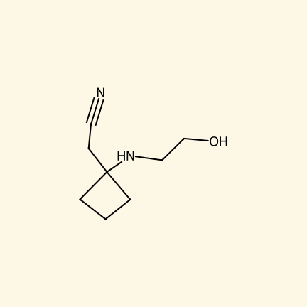 N#CCC1(NCCO)CCC1